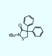 CC(C)(C)N1SCC(c2ccccc2)(c2ccccc2)C1=O